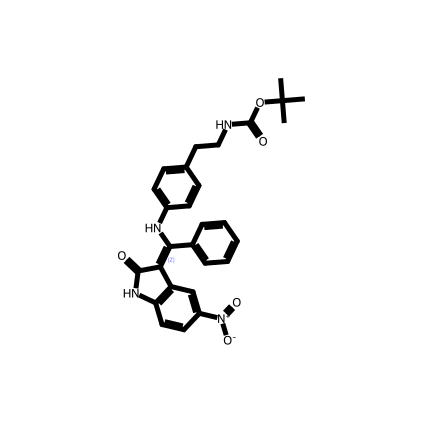 CC(C)(C)OC(=O)NCCc1ccc(N/C(=C2\C(=O)Nc3ccc([N+](=O)[O-])cc32)c2ccccc2)cc1